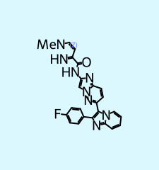 CN/C=C\C(=N)C(=O)Nc1cn2nc(-c3c(-c4ccc(F)cc4)nc4ccccn34)ccc2n1